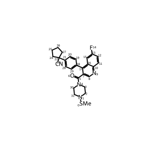 CSN1CCN(C(=O)c2cnc3ccc(F)cc3c2-c2ccc(C3(C#N)CCCC3)cc2)CC1